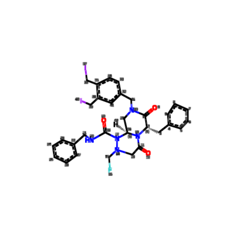 O=C1[C@H](Cc2ccccc2)N2C(=O)CN(CF)N(C(=O)NCc3ccccc3)[C@H]2CN1Cc1ccc(CI)c(CI)c1